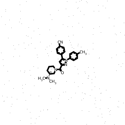 Cc1ccc(-n2nc(C(=O)N3CCC[C@@H](N(C)C)C3)cc2-c2ccc(C#N)cc2)cc1